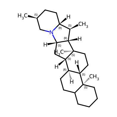 C[C@H]1CC[C@@H]2[C@@H](C)[C@H]3[C@H](C[C@H]4[C@@H]5CCC6CCCC[C@]6(C)[C@H]5CC[C@]34C)N2C1